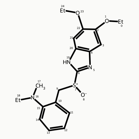 CCOc1cc2nc([S+]([O-])Cc3ccccc3N(C)CC)[nH]c2cc1OCC